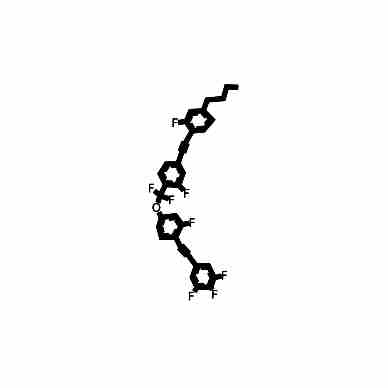 CCCCc1ccc(C#Cc2ccc(C(F)(F)Oc3ccc(C#Cc4cc(F)c(F)c(F)c4)c(F)c3)c(F)c2)c(F)c1